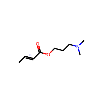 C/C=C/C(=O)OCCCN(C)C